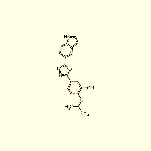 CC(C)Oc1ccc(-c2nnc(-c3ccc4[nH]ccc4c3)o2)cc1O